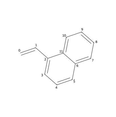 C=Cc1cc[c]c2ccccc12